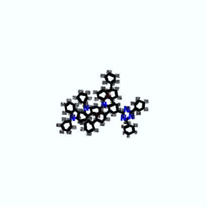 C1=C(c2nc(-c3ccccc3)nc(-c3ccccc3)n2)CC(c2ccc(-c3ccccc3)cc2)C(N(c2ccccc2)c2ccc3c4ccc5c(c6ccccc6n5-c5ccccc5)c4n(-c4ccccc4)c3c2)=C1c1ccc(-c2ccccc2)cc1